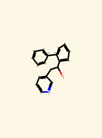 [O]C(Cc1cccnc1)c1ccccc1-c1ccccc1